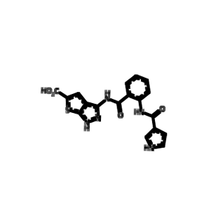 O=C(Nc1ccccc1C(=O)Nc1n[nH]c2sc(C(=O)O)cc12)c1cc[nH]c1